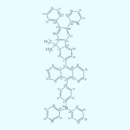 CC1(C)c2cc(-c3c4ccccc4c(-c4ccc(N(c5ccccc5)c5ccccc5)cc4)c4ccccc34)ccc2-c2cc3c4ccccc4c4ccccc4c3cc21